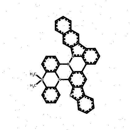 C[Si]1(C)c2ccccc2N2c3c(cccc31)B1c3c(cc4c(sc5ccccc54)c32)-c2cccc3c4cc5ccccc5cc4n1c23